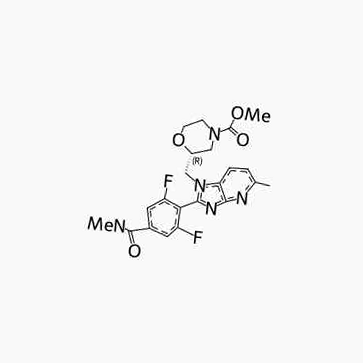 CNC(=O)c1cc(F)c(-c2nc3nc(C)ccc3n2C[C@H]2CN(C(=O)OC)CCO2)c(F)c1